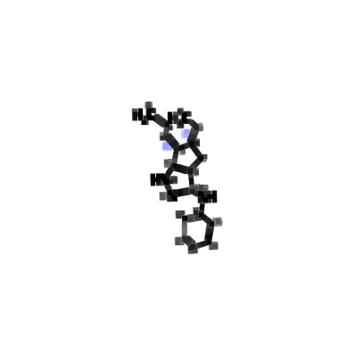 C=C/C=C1\C(=C/C)Cc2c(Nc3ccccc3)n[nH]c21